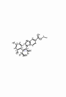 CCOC(=O)c1ccc2c(c1)ncn2/C(NC)=C(/C(C)=N)c1ccc(F)cc1Cl